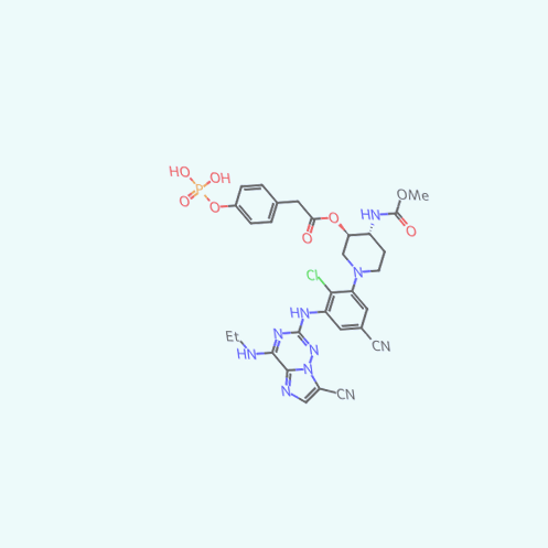 CCNc1nc(Nc2cc(C#N)cc(N3CC[C@@H](NC(=O)OC)[C@H](OC(=O)Cc4ccc(OP(=O)(O)O)cc4)C3)c2Cl)nn2c(C#N)cnc12